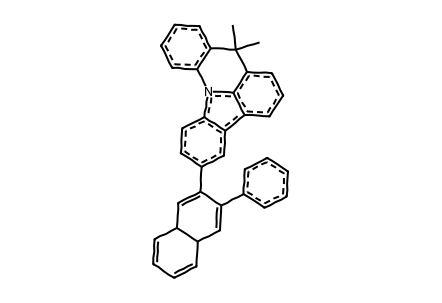 CC1(C)c2ccccc2-n2c3ccc(C4=CC5C=CC=CC5C=C4c4ccccc4)cc3c3cccc1c32